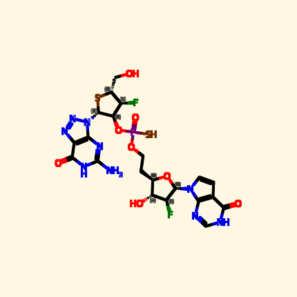 Nc1nc2c(nnn2[C@@H]2S[C@H](CO)[C@@H](F)[C@H]2OP(=O)(S)OCC[C@H]2O[C@@H](n3ccc4c(=O)[nH]cnc43)[C@@H](F)[C@@H]2O)c(=O)[nH]1